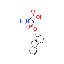 CC(N)(CC(=O)OCc1cccc2c1Cc1ccccc1-2)C(=O)O